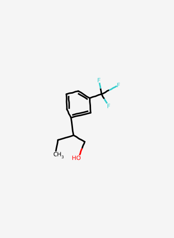 CCC(CO)c1cccc(C(F)(F)F)c1